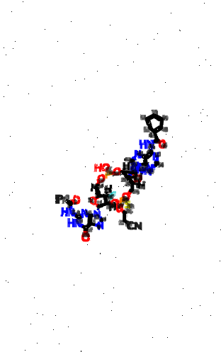 CC(C)C(=O)Nc1nc2c(ncn2[C@@H]2O[C@@H]3COP(O)O[C@@H]4[C@H](N=[N+]=[N-])[C@@H](COP(=S)(OCCC#N)O[C@@H]2[C@@H]3F)O[C@H]4n2cnc3c(NC(=O)c4ccccc4)ncnc32)c(=O)[nH]1